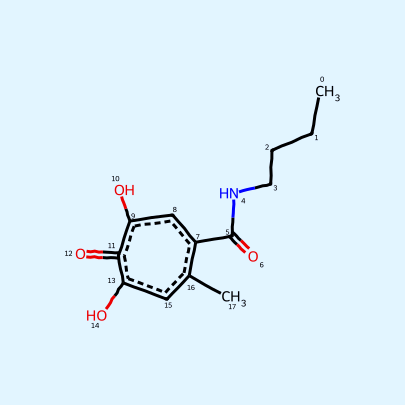 CCCCNC(=O)c1cc(O)c(=O)c(O)cc1C